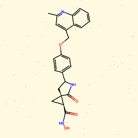 Cc1cc(COc2ccc(C3C[C@@]4(C[C@@H]4C(=O)NO)C(=O)N3)cc2)c2ccccc2n1